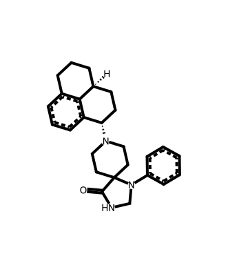 O=C1NCN(c2ccccc2)C12CCN([C@H]1CC[C@@H]3CCCc4cccc1c43)CC2